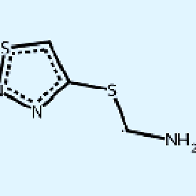 N[CH]Sc1csnn1